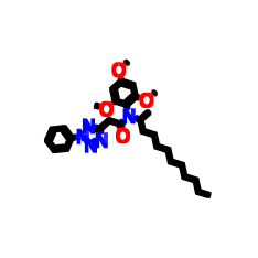 CCCCCCCCCCC(C)N(C(=O)Cc1nnn(-c2ccccc2)n1)c1c(OC)cc(OC)cc1OC